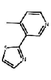 Cc1ccncc1-c1nccs1